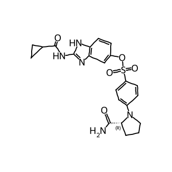 NC(=O)[C@H]1CCCN1c1ccc(S(=O)(=O)Oc2ccc3[nH]c(NC(=O)C4CC4)nc3c2)cc1